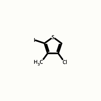 Cc1c(Cl)csc1I